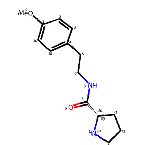 COc1ccc(CCNC(=O)[C@@H]2CCCN2)cc1